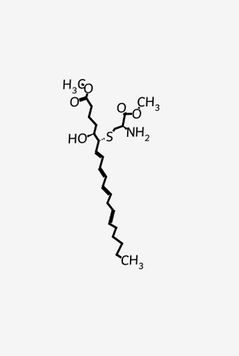 CCCCCC=CCC=CC=CC=C[C@@H](SC[C@H](N)C(=O)OC)[C@@H](O)CCCC(=O)OC